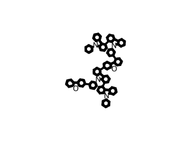 c1ccc(-n2c3ccccc3c3c(-c4cccc5c6ccccc6n(-c6cccc(-c7cccc8oc9cc(-c%10cccc%11c%10c%10cccc(-c%12cccc%13c%12c%12ccccc%12n%13-c%12ccccc%12)c%10n%11-c%10cccc(-c%11ccc%12c(c%11)oc%11ccccc%11%12)c%10)ccc9c78)c6)c45)cccc32)cc1